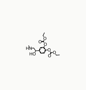 CCOC(=O)Oc1ccc(C(O)CNC)cc1OC(=O)OCC